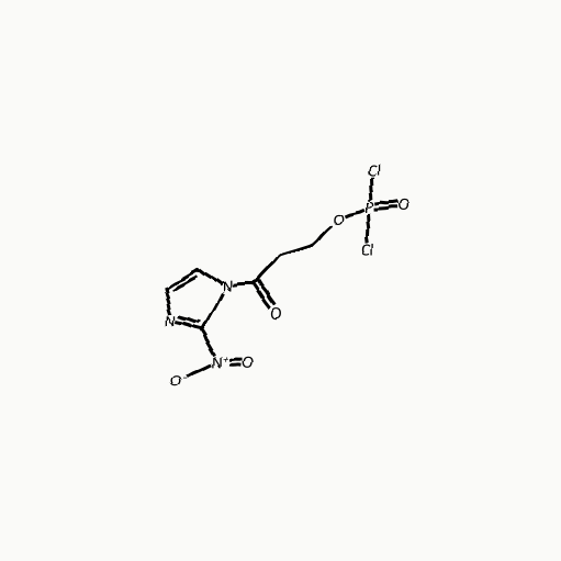 O=C(CCOP(=O)(Cl)Cl)n1ccnc1[N+](=O)[O-]